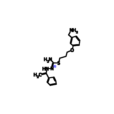 C=C(N/N=C(\N)SCCCOc1cccc(CN)c1)c1ccccc1